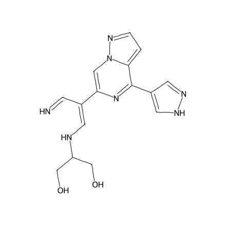 N=C/C(=C\NC(CO)CO)c1cn2nccc2c(-c2cn[nH]c2)n1